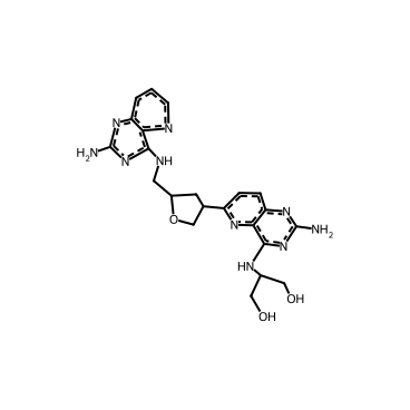 Nc1nc(NCC2CC(c3ccc4nc(N)nc(NC(CO)CO)c4n3)CO2)c2ncccc2n1